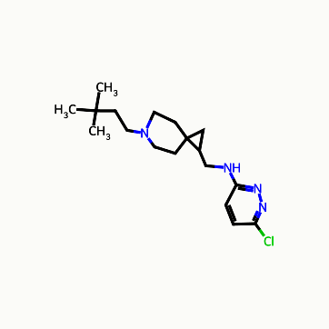 CC(C)(C)CCN1CCC2(CC1)CC2CNc1ccc(Cl)nn1